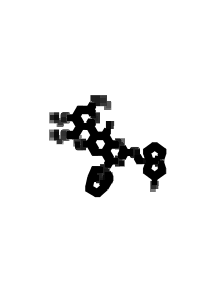 C=C(F)c1c(C)cc(N)nc1-c1c(Cl)cc2c(N3CC4CCC(C3)N4)nc(OC[C@@]34CCCN3C[C@H](F)C4)nc2c1F